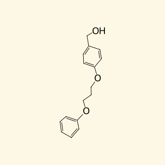 OCc1ccc(OCCCOc2ccccc2)cc1